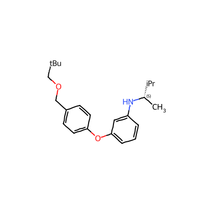 CC(C)[C@H](C)Nc1cccc(Oc2ccc(COCC(C)(C)C)cc2)c1